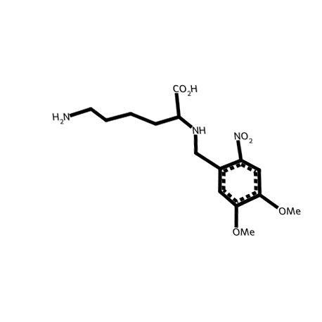 COc1cc(CNC(CCCCN)C(=O)O)c([N+](=O)[O-])cc1OC